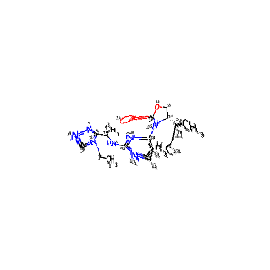 CCn1cnnc1[C@@H](C)Nc1nccc(N2C(=O)OC[C@@H]2C(C)C)n1